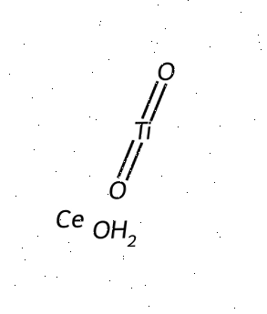 O.[Ce].[O]=[Ti]=[O]